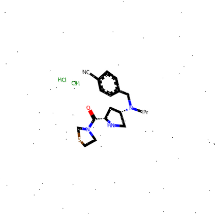 CC(C)N(Cc1ccc(C#N)cc1)[C@@H]1CN[C@H](C(=O)N2CCSC2)C1.Cl.Cl